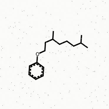 CC(C)CCCC(C)CCOc1ccccc1